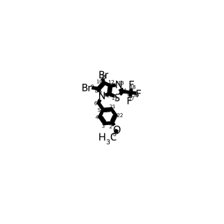 COc1ccc(Cn2c(Br)c(Br)c3nc(C(F)(F)F)sc32)cc1